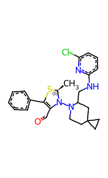 C[C@@H]1SC(c2ccccc2)=C(C=O)N1N1CCC2(CC2)CC1CNc1cccc(Cl)n1